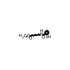 CCOC(=O)CCCCCCNC(=O)c1ccccc1S